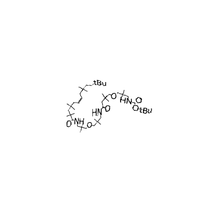 CC(C)(C)CCC(C)(C)C/C=C\CC(C)(C)CC(C)(C)C(=O)NCC(C)(C)COCC(C)(C)CNC(=O)CC(C)(C)COCC(C)(C)CNC(=O)OC(C)(C)C